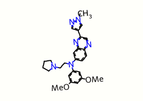 COc1cc(OC)cc(N(CCN2CCCC2)c2ccc3ncc(-c4cnn(C)c4)nc3c2)c1